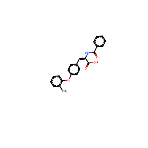 Cc1ccccc1Oc1ccc(/C=C(/NC(=O)c2ccccc2)C(=O)O)cc1